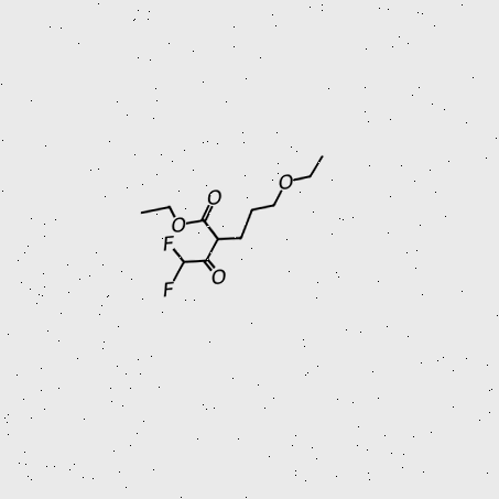 CCOCCCC(C(=O)OCC)C(=O)C(F)F